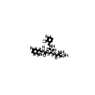 CN(C(=O)NCc1cccc(F)c1Cl)[C@@H](CNC(=O)[C@H](N)CO)COC(=O)Nc1cc2cc(F)ccc2cn1